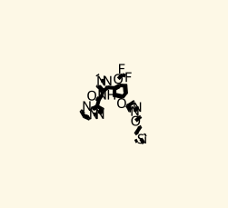 Cn1cc(NC(=O)c2cnn3cccnc23)c(-c2cc(Oc3cnn(COCC[Si](C)(C)C)c3)ccc2OC(F)F)n1